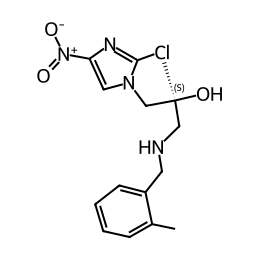 Cc1ccccc1CNC[C@](C)(O)Cn1cc([N+](=O)[O-])nc1Cl